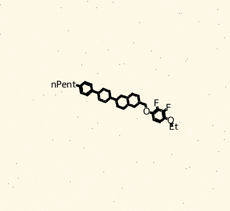 CCCCCc1ccc(C2CCC(C3CCC4CC(COc5ccc(OCC)c(F)c5F)CCC4C3)CC2)cc1